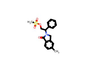 Cc1ccc2c(c1)CN(C(COS(C)(=O)=O)c1ccccc1)C2=O